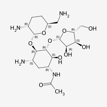 CC(=O)N[C@@H]1C[C@H](N)[C@@H](O[C@H]2O[C@H](CN)CC[C@H]2N)[C@H](O[C@@H]2O[C@H](CO)[C@@H](O)[C@H]2O)[C@H]1O